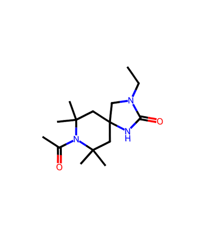 CCN1CC2(CC(C)(C)N(C(C)=O)C(C)(C)C2)NC1=O